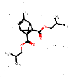 CC1=CC2CC1C(C(=O)OCC(C)C)=C2C(=O)OCC(C)C